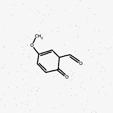 COC1=CC(C=O)C(=O)C=C1